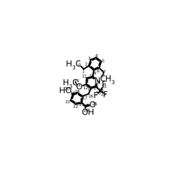 CCc1cccc(CC)c1-c1cc(OC)c(Cc2cc(O)ccc2C(=O)O)c(C(F)(F)F)n1